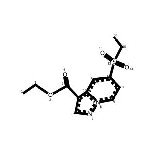 CCOC(=O)c1cnn2ccc(S(=O)(=O)CC)cc12